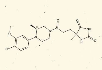 COc1cc(N2CCN(C(=O)CCC3(C)NC(=O)NC3=O)C[C@@H]2C)ccc1Cl